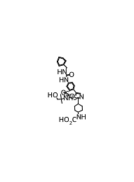 CC(C)(CO)NS(=O)(=O)c1cc(NC(=O)NCc2ccccc2)ccc1-c1cnc(C2CCC(NC(=O)O)CC2)s1